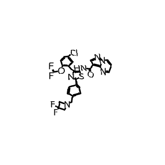 O=C(Nc1sc(-c2ccc(CN3CC(F)(F)C3)cc2)nc1-c1cc(Cl)ccc1OC(F)F)c1cnn2cccnc12